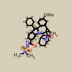 COc1ccc2c(c1)C1CC1(C(=O)N1C3CCCC1CN(C)C3)Cn1c-2c(C2CCCCC2)c2ccc(C(=O)NS(=O)(=O)N(C)C)cc21